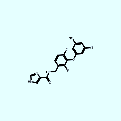 N#Cc1cc(Cl)cc(Oc2c(Cl)ccc(CNC(=O)c3c[nH]cn3)c2F)c1